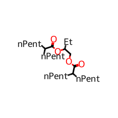 CCCCCC(CCCCC)C(=O)OCC(CC)OC(=O)C(CCCCC)CCCCC